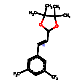 CC1(C)OB(/C=C/c2cc(C(F)(F)F)cc(C(F)(F)F)c2)OC1(C)C